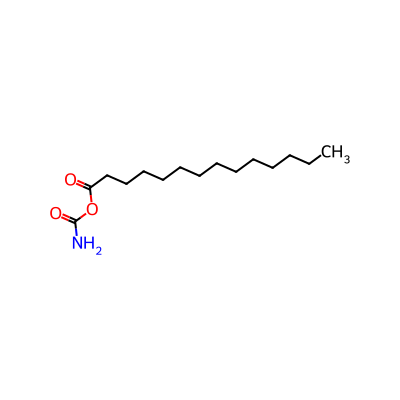 CCCCCCCCCCCCCC(=O)OC(N)=O